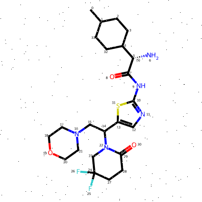 CC1CCC([C@H](N)C(=O)Nc2ncc(C(CN3CCOCC3)N3CC(F)(F)CCC3=O)s2)CC1